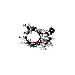 CC(C)C[C@H](NC(=O)[C@H](CC[S+](C)[O-])NC=O)C(=O)N[C@@H](Cc1ccccc1)C(=O)NCC[C@@H](O)C1NC(=O)[C@H]([C@H](O)[C@@H](O)c2ccc(O)cc2)NC(=O)[C@@H]2C[C@@H](O)CN2C(=O)[C@H]([C@@H](C)O)NC(=O)C(N)C[C@@H](O)[C@@H](OCCN)NC(=O)[C@@H]2[C@@H](O)CCN2C1=O